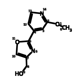 COc1cc(-c2nc(CO)co2)ccn1